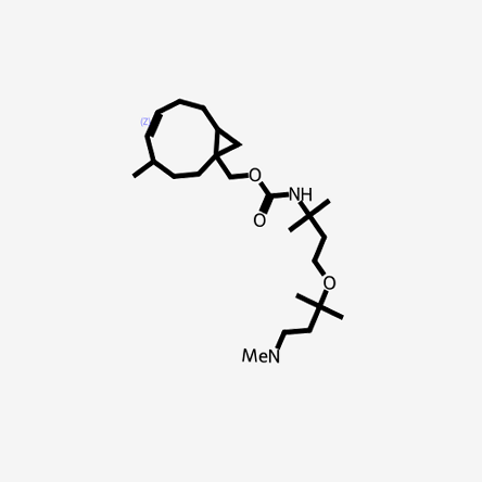 CNCCC(C)(C)OCCC(C)(C)NC(=O)OCC12CCC(C)/C=C\CCC1C2